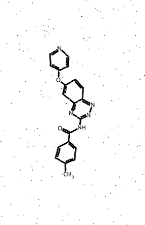 Cc1ccc(C(=O)Nc2nnc3ccc(Oc4ccncc4)cc3n2)cc1